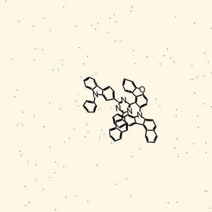 c1ccc(-n2c3ccccc3c3ccc(-c4nc(-c5ccc6ccccc6c5)nc(-c5c(-n6c7cc8ccccc8cc7c7c8ccccc8ccc76)ccc6oc7ccccc7c56)n4)cc32)cc1